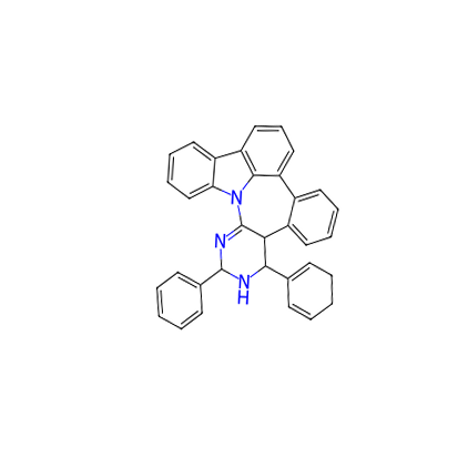 C1=CC(C2NC(c3ccccc3)N=C3C2c2ccccc2-c2cccc4c5ccccc5n3c24)=CCC1